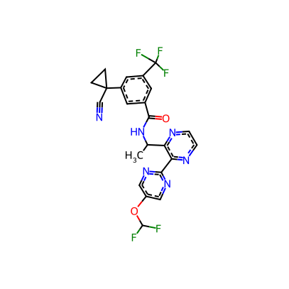 CC(NC(=O)c1cc(C(F)(F)F)cc(C2(C#N)CC2)c1)c1nccnc1-c1ncc(OC(F)F)cn1